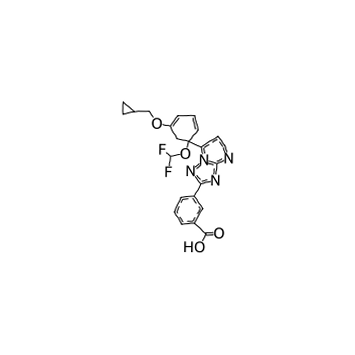 O=C(O)c1cccc(-c2nc3nccc(C4(OC(F)F)C=CC=C(OCC5CC5)C4)n3n2)c1